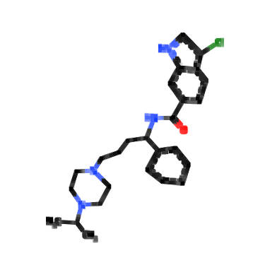 CC(C)N1CCN(CCCC(NC(=O)c2ccc3c(Cl)c[nH]c3c2)c2ccccc2)CC1